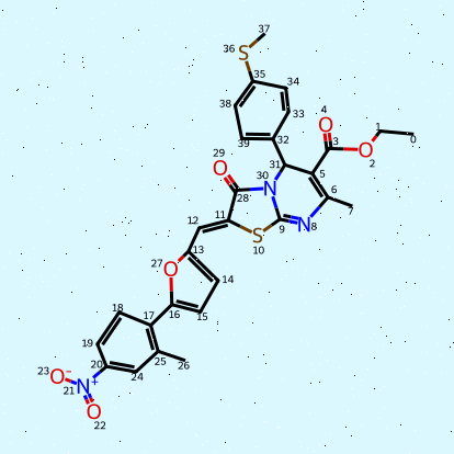 CCOC(=O)C1=C(C)N=c2sc(=Cc3ccc(-c4ccc([N+](=O)[O-])cc4C)o3)c(=O)n2C1c1ccc(SC)cc1